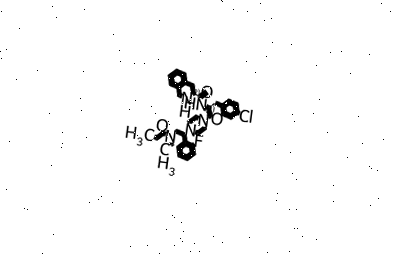 CCC(=O)N(CC)CC(c1ccccc1F)N1CCN(C(=O)[C@@H](Cc2ccc(Cl)cc2)NC(=O)[C@H]2Cc3ccccc3CN2)CC1